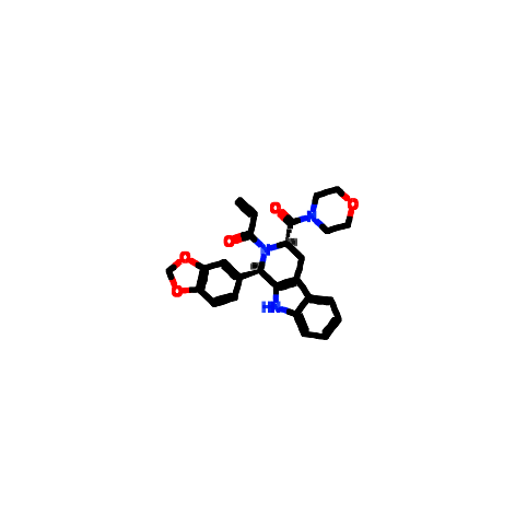 C=CC(=O)N1[C@H](c2ccc3c(c2)OCO3)c2[nH]c3ccccc3c2C[C@H]1C(=O)N1CCOCC1